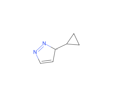 C1=C[C](C2CC2)N=N1